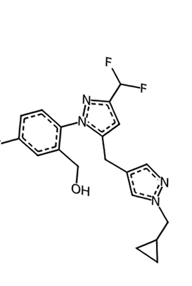 OCc1cc(F)ccc1-n1nc(C(F)F)cc1Cc1cnn(CC2CC2)c1